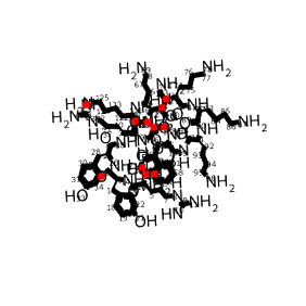 CC(=O)N[C@@H](CCCNC(=N)N)C(=O)N[C@@H](Cc1ccc(O)cc1)C(=O)N[C@@H](Cc1ccc(O)cc1)C(=O)N[C@@H](CCCNC(=N)N)C(=O)N[C@@H](Cc1c[nH]c2ccccc12)C(=O)N[C@@H](CCCCN)C(=O)N[C@@H](CCCCN)C(=O)N[C@@H](CCCCN)C(=O)N[C@@H](CCCCN)C(=O)N[C@@H](CCCCN)C(=O)N[C@@H](CCCCN)C(=O)NC(=O)[C@@H](N)CCCCN